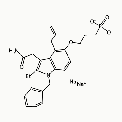 C=CCc1c(OCCCP(=O)([O-])[O-])ccc2c1c(CC(N)=O)c(CC)n2Cc1ccccc1.[Na+].[Na+]